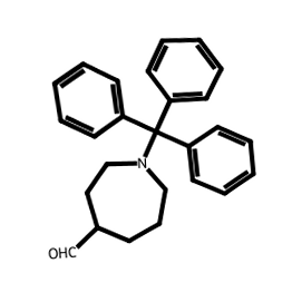 O=CC1CCCN(C(c2ccccc2)(c2ccccc2)c2ccccc2)CC1